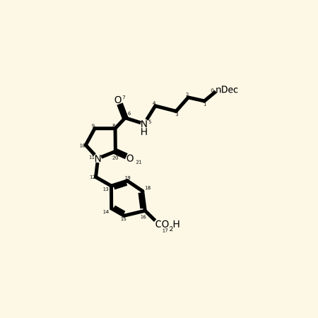 CCCCCCCCCCCCCCNC(=O)C1CCN(Cc2ccc(C(=O)O)cc2)C1=O